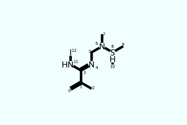 C=C(C)C(=NCN(C)[SH](C)C)NI